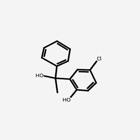 CC(O)(c1ccccc1)c1cc(Cl)ccc1O